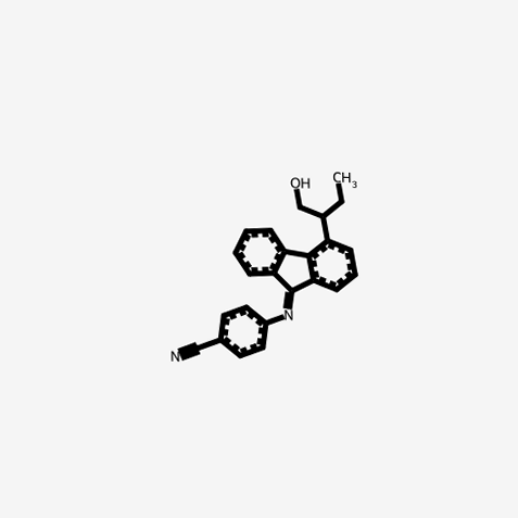 CCC(CO)c1cccc2c1-c1ccccc1/C2=N\c1ccc(C#N)cc1